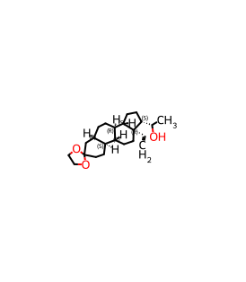 C=C[C@]12CC[C@H]3[C@@H](CC[C@@H]4CC5(CC[C@@H]43)OCCO5)[C@@H]1CC[C@@H]2C(C)O